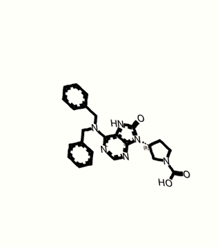 O=C(O)N1CC[C@@H](n2c(=O)[nH]c3c(N(Cc4ccccc4)Cc4ccccc4)ncnc32)C1